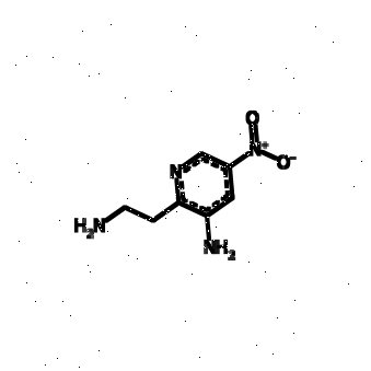 NCCc1ncc([N+](=O)[O-])cc1N